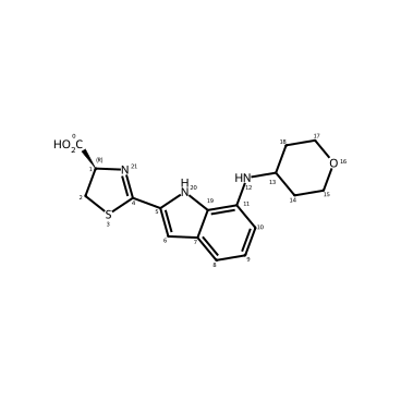 O=C(O)[C@@H]1CSC(c2cc3cccc(NC4CCOCC4)c3[nH]2)=N1